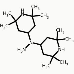 CC1(C)CC(N(N)C2CC(C)(C)NC(C)(C)C2)CC(C)(C)N1